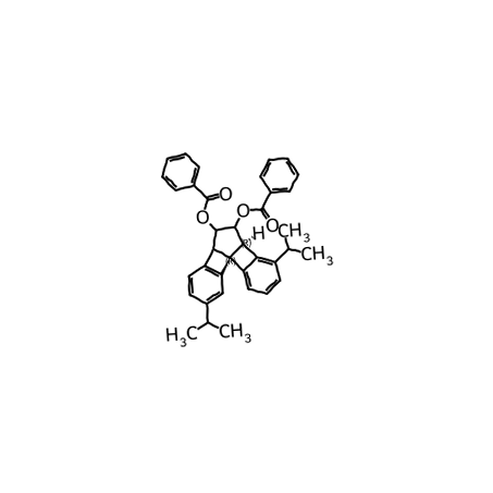 CC(C)c1ccc2c(c1)[C@]13c4cccc(C(C)C)c4[C@@H]1C(OC(=O)c1ccccc1)C(OC(=O)c1ccccc1)C23